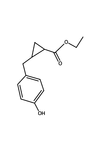 CCOC(=O)C1CC1Cc1ccc(O)cc1